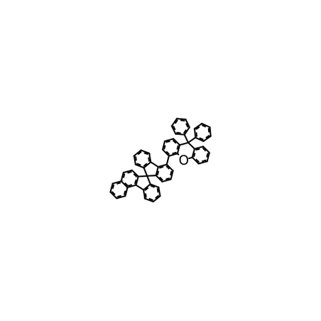 c1ccc(C2(c3ccccc3)c3ccccc3Oc3c(-c4cccc5c4-c4ccccc4C54c5ccccc5-c5c4ccc4ccccc54)cccc32)cc1